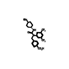 CC(C)(C)[C@H]1CC[C@H](NC(=O)N(Cc2ccc(C(=O)O)cc2)c2cc(C(F)(F)F)cc(C(F)(F)F)c2)CC1